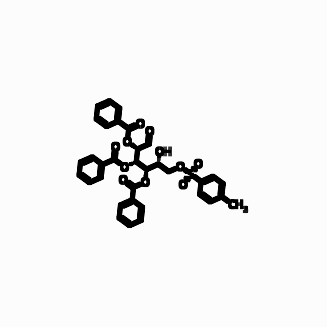 Cc1ccc(S(=O)(=O)OC[C@@H](O)[C@@H](OC(=O)c2ccccc2)[C@H](OC(=O)c2ccccc2)[C@H](C=O)OC(=O)c2ccccc2)cc1